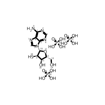 Nc1ncnc2c1ncn2[C@@H]1O[C@H](CO)[C@@H](O)[C@H]1S.O=P(O)(O)O.O=P(O)(O)O.O=P(O)(O)O